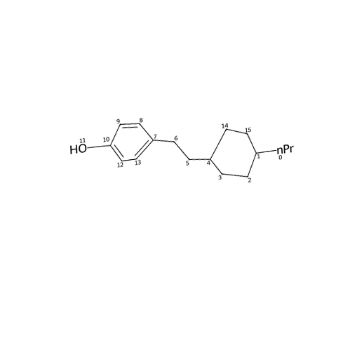 CCCC1CCC(CCc2ccc(O)cc2)CC1